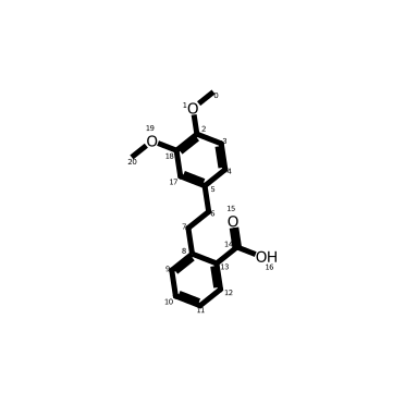 COc1ccc(CCc2ccccc2C(=O)O)cc1OC